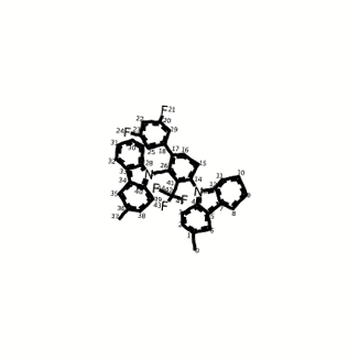 Cc1ccc2c(c1)c1ccccc1n2-c1ccc(-c2cc(F)cc(F)c2)c(-n2c3ccccc3c3cc(C)ccc32)c1C(F)(F)F